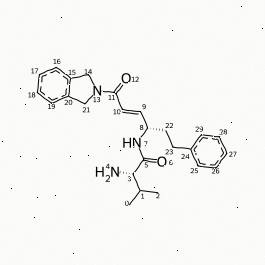 CC(C)[C@H](N)C(=O)N[C@H](/C=C/C(=O)N1Cc2ccccc2C1)CCc1ccccc1